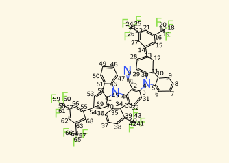 N#Cc1c(-n2c3ccccc3c3cc(-c4cc(C(F)(F)F)cc(C(F)(F)F)c4)ccc32)ccc(-c2ccccc2C(F)(F)F)c1-n1c2ccccc2c2cc(-c3cc(C(F)(F)F)cc(C(F)(F)F)c3)ccc21